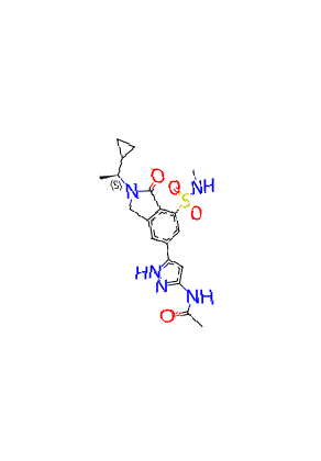 CNS(=O)(=O)c1cc(-c2cc(NC(C)=O)n[nH]2)cc2c1C(=O)N([C@@H](C)C1CC1)C2